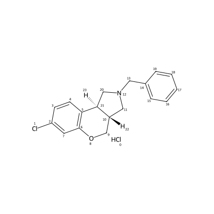 Cl.Clc1ccc2c(c1)OC[C@H]1CN(Cc3ccccc3)C[C@H]21